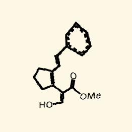 COC(=O)/C(=C/O)C1=C(/C=C/c2ccccc2)CCC1